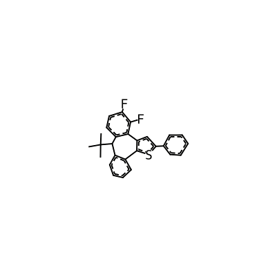 CC(C)(C)C1c2ccccc2-c2sc(-c3ccccc3)cc2-c2c1ccc(F)c2F